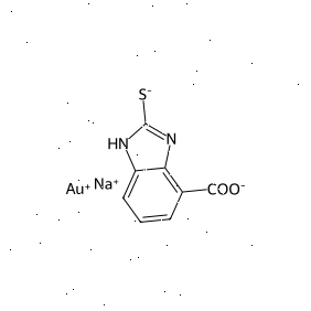 O=C([O-])c1cccc2[nH]c([S-])nc12.[Au+].[Na+]